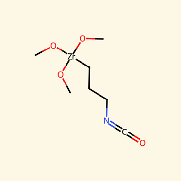 C[O][Zr]([CH2]CCN=C=O)([O]C)[O]C